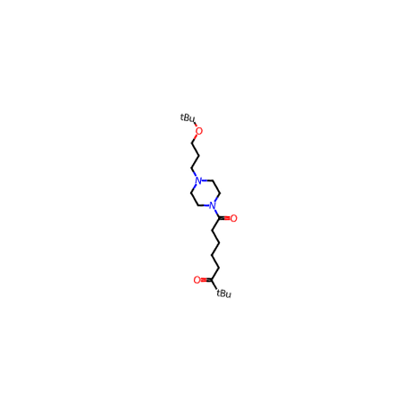 CC(C)(C)OCCCN1CCN(C(=O)CCCCC(=O)C(C)(C)C)CC1